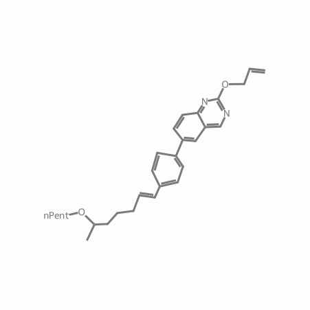 C=CCOc1ncc2cc(-c3ccc(/C=C/CCCC(C)OCCCCC)cc3)ccc2n1